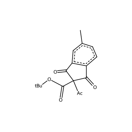 CC(=O)C1(C(=O)OC(C)(C)C)C(=O)c2ccc(C)cc2C1=O